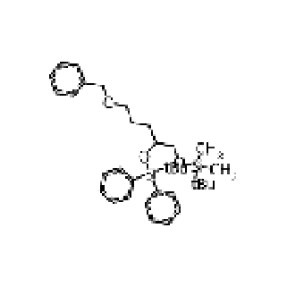 CC(C)(C)[Si](C)(C)OCC(CCCOCc1ccccc1)O[Si](c1ccccc1)(c1ccccc1)C(C)(C)C